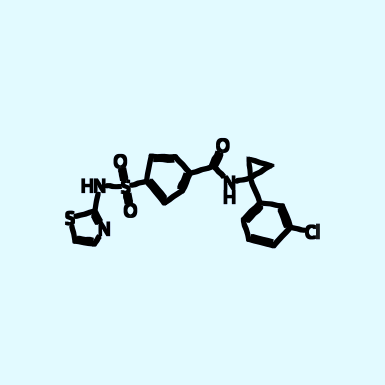 O=C(NC1(c2cccc(Cl)c2)CC1)c1ccc(S(=O)(=O)Nc2nccs2)cc1